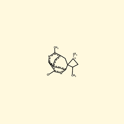 Cc1nc2c(Cl)nc3nc2cc1CC31C(C)C[C@H]1C(F)(F)F